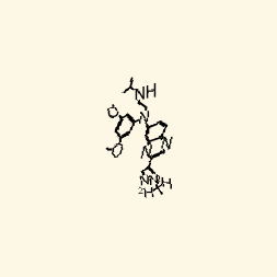 [2H]C([2H])(C)n1cc(-c2cnc3ccc(N(CCNC(C)C)c4cc(OC)cc(OC)c4)cc3n2)cn1